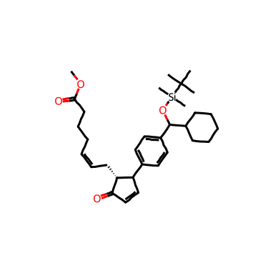 COC(=O)CCC/C=C\C[C@H]1C(=O)C=CC1c1ccc(C(O[Si](C)(C)C(C)(C)C)C2CCCCC2)cc1